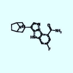 CCN1C2CCC1CC(c1cnn3c1[nH]c1cc(F)cc(C(N)=O)c13)C2